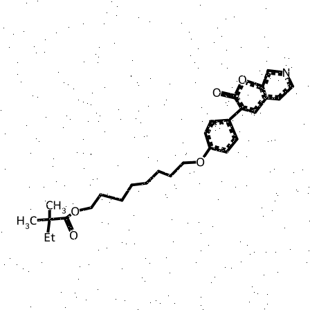 CCC(C)(C)C(=O)OCCCCCCCCOc1ccc(-c2cc3ccncc3oc2=O)cc1